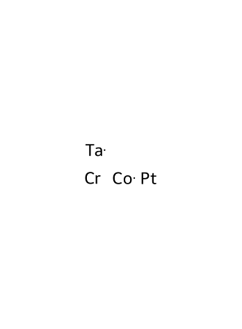 [Co].[Cr].[Pt].[Ta]